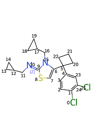 Clc1ccc(C2(c3cs/c(=N\CC4CC4)n3CC3CC3)CCC2)cc1Cl